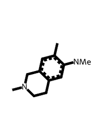 CNc1cc2c(cc1C)CN(C)CC2